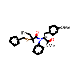 CNC(=O)[C@H](Cc1ccc(OC)cc1)N(C(=O)C(C)(CC(C)C)SCc1ccccc1)c1ccccc1